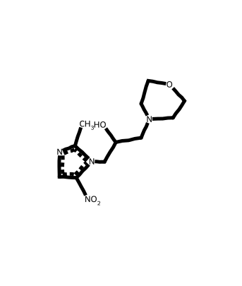 Cc1ncc([N+](=O)[O-])n1CC(O)CN1CCOCC1